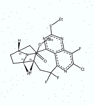 CCSc1nc2c3c(nc(Cl)c(F)c3n1)C(F)(F)C[C@@H]1[C@@H]3CC[C@H](CN21)N3C(=O)OC(C)(C)C